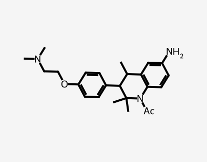 CC(=O)N1c2ccc(N)cc2C(C)C(c2ccc(OCCN(C)C)cc2)C1(C)C